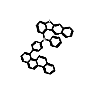 c1ccc(N(c2ccc(-c3cccc4ccc5c6ccccc6ccc5c34)cc2)c2cccc3sc4cc5ccccc5cc4c23)cc1